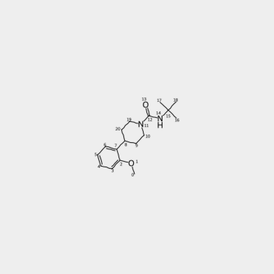 COc1ccccc1C1CCN(C(=O)NC(C)(C)C)CC1